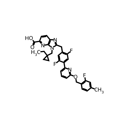 CCC1(Cn2c(Cc3cc(F)c(-c4cccc(OCc5ccc(C)cc5F)n4)cc3F)nc3ccc(C(=O)O)nc32)CC1